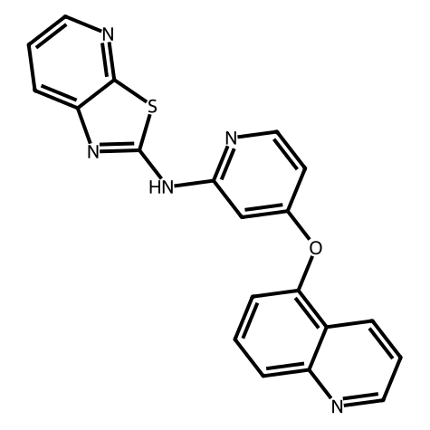 c1cnc2sc(Nc3cc(Oc4cccc5ncccc45)ccn3)nc2c1